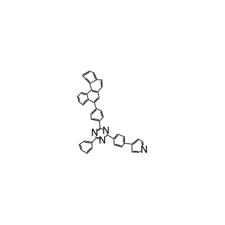 c1ccc(-c2nc(-c3ccc(-c4ccncc4)cc3)nc(-c3ccc(-c4cc5ccc6ccccc6c5c5ccccc45)cc3)n2)cc1